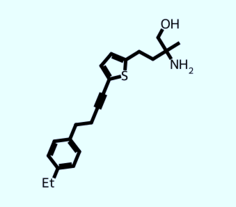 CCc1ccc(CCC#Cc2ccc(CCC(C)(N)CO)s2)cc1